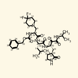 CC(C)C[C@H](NC(=O)[C@H](CN1CCC(F)(F)CC1)NC(=O)OCc1ccccc1)C(=O)N[C@@H](C[C@@H]1CCNC1=O)C(=O)C(=O)NC(C)C